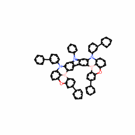 c1ccc(-c2cccc(N3c4cc5c(cc4B4c6ccc(-c7ccccc7)cc6Oc6cccc3c64)c3cc4c(cc3n5-c3ccccc3)N(c3cccc(-c5ccccc5)c3)c3cccc5c3B4c3ccc(-c4ccccc4)cc3O5)c2)cc1